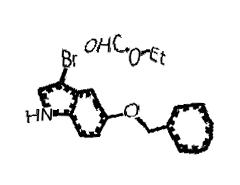 Brc1c[nH]c2ccc(OCc3ccccc3)cc12.CCOC=O